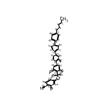 CCCCCc1ccc(-c2ccc(-c3ccc(-c4cc(F)c(C(F)(F)Oc5ccc(C#N)c(F)c5)c(F)c4)c(F)c3)cc2)cc1